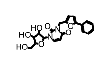 O=c1ccn(C2OC(CO)C(O)C2O)c(=O)n1Cc1ccc(-c2ccccc2)o1